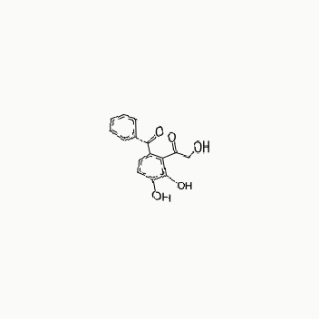 O=C(c1ccccc1)c1ccc(O)c(O)c1C(=O)CO